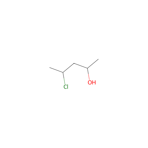 CC(O)CC(C)Cl